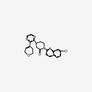 O=C1CC(c2nccnc2C2=CCOCC2)CCN1c1ccc2ccc(Cl)cc2n1